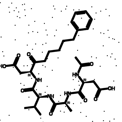 CC(=O)N[C@@H](CC(=O)O)C(=O)N[C@@H](C)C(=O)N[C@H](C(=O)N[C@@H](CC(=O)O)C(=O)CCCCCc1ccccc1)C(C)C